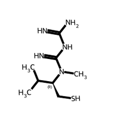 CC(C)[C@H](CS)N(C)C(=N)NC(=N)N